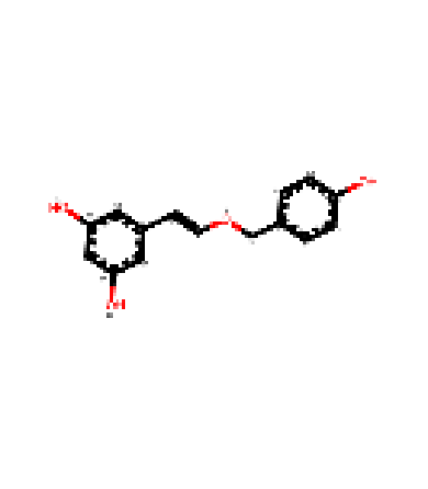 Oc1ccc(CO/C=C/c2cc(O)cc(O)c2)cc1